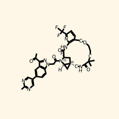 CC(=O)c1nn(CC(=O)N2[C@H]3C[C@@]4(CNC(=O)C(C)(C)CCCOCc5ccc(C(F)(F)F)nc5NC3=O)C[C@@H]24)c2ccc(-c3cnc(C)nc3)cc12